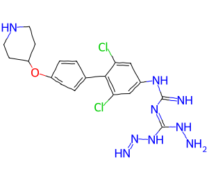 N=NN/C(=N/C(=N)Nc1cc(Cl)c(-c2ccc(OC3CCNCC3)cc2)c(Cl)c1)NN